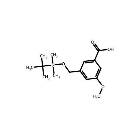 COc1cc(CO[Si](C)(C)C(C)(C)C)cc(C(=O)O)c1